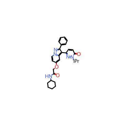 CC(C)n1nc(-c2c(-c3ccccc3)nn3ccc(OCC(=O)NC4CCCCC4)cc23)ccc1=O